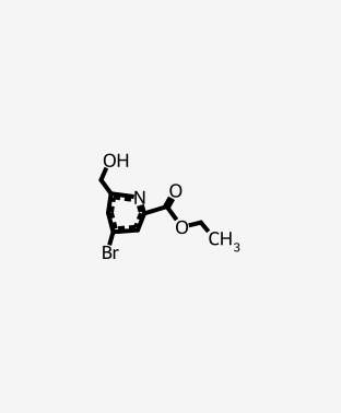 CCOC(=O)c1cc(Br)cc(CO)n1